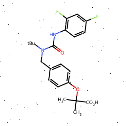 CC(C)(Oc1ccc(CN(C(=O)Nc2ccc(F)cc2F)C(C)(C)C)cc1)C(=O)O